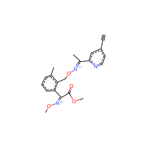 C#Cc1ccnc(/C(C)=N/OCc2c(C)cccc2/C(=N\OC)C(=O)OC)c1